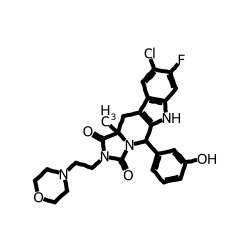 CC12Cc3c([nH]c4cc(F)c(Cl)cc34)C(c3cccc(O)c3)N1C(=O)N(CCN1CCOCC1)C2=O